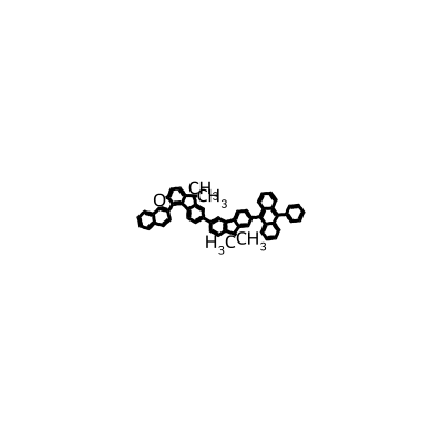 CC1(C)c2ccc(-c3ccc4c(c3)C(C)(C)c3ccc5oc6c7ccccc7ccc6c5c3-4)cc2-c2ccc(-c3c4ccccc4c(-c4ccccc4)c4ccccc34)cc21